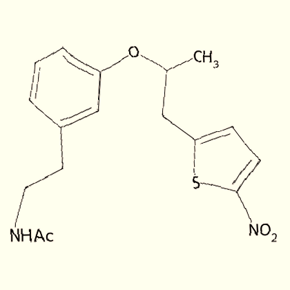 CC(=O)NCCc1cccc(OC(C)Cc2ccc([N+](=O)[O-])s2)c1